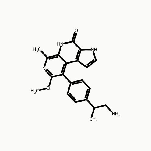 COc1nc(C)c2[nH]c(=O)c3[nH]ccc3c2c1-c1ccc(C(C)CN)cc1